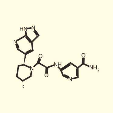 C[C@@H]1CC[C@@H](c2cnc3[nH]ncc3c2)N(C(=O)C(=O)Nc2cncc(C(N)=O)c2)C1